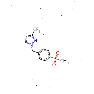 CS(=O)(=O)c1ccc(Cn2ccc(C(F)(F)F)n2)cc1